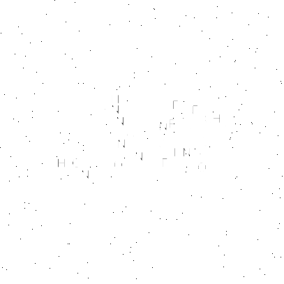 Cc1cc(=O)[nH]c(-c2ncc3c(N4CC5CCC(C4)N5)nc(OC[C@@H]4CCCN4C)nc3c2F)c1C(F)(F)F